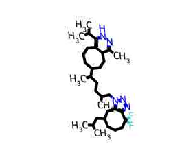 CC1=NNC(C(C)C)=C2CCCC(C(C)CCC(C)Cn3nnc4c3CC(CC(C)C)CCCC4(F)F)CCC12